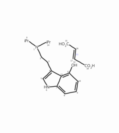 CC(C)N(CCc1c[nH]c2cccc(O)c12)C(C)C.O=C(O)/C=C/C(=O)O